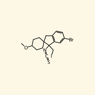 COC1CCC2(CC1)Cc1ccc(Br)cc1C2(CI)N=C=S